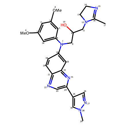 COc1cc(OC)cc(N(CC(O)CN2CCN=C2C)c2ccc3ncc(-c4cnn(C)c4)nc3c2)c1